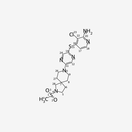 CS(=O)(=O)N1CCC2(CCN(c3cnc(Sc4ccnc(N)c4Cl)cn3)CC2)C1